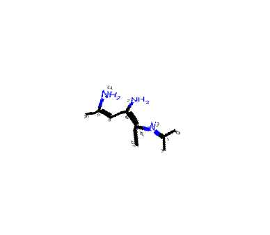 CC(C)=N/C(C)=C(N)/C=C(/C)N